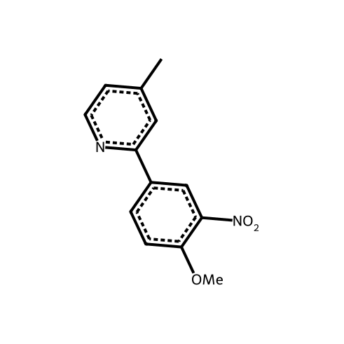 COc1ccc(-c2cc(C)ccn2)cc1[N+](=O)[O-]